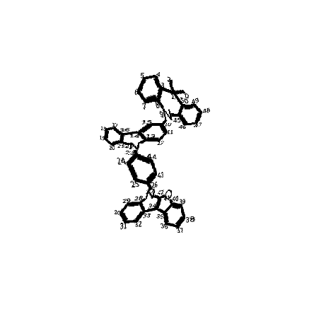 CC1(C)c2ccccc2N(c2ccc3c(c2)c2ccccc2n3-c2ccc(-n3c4ccccc4c4c5ccccc5oc43)cc2)c2ccccc21